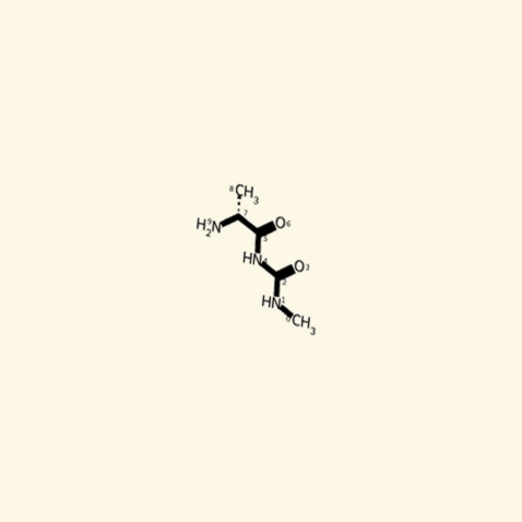 CNC(=O)NC(=O)[C@@H](C)N